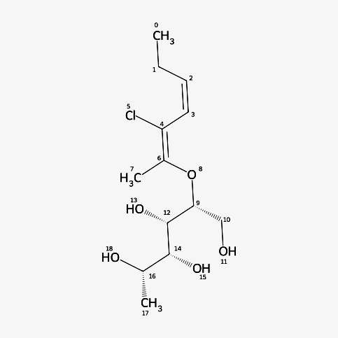 CC/C=C\C(Cl)=C(\C)O[C@H](CO)[C@@H](O)[C@H](O)[C@H](C)O